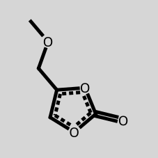 COCc1coc(=O)o1